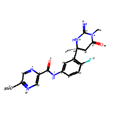 COc1cnc(C(=O)Nc2ccc(F)c([C@]3(C)CC(=O)N(C)C(=N)N3)c2)cn1